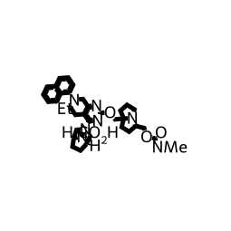 CCc1cccc2cccc(N3CCc4c(nc(OCC56CCCN5C(COC(=O)NC)CC6)nc4N4C[C@H]5CC[C@@H](C4)N5C(=O)O)C3)c12